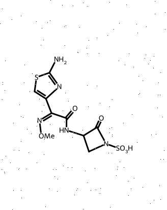 CO/N=C(\C(=O)NC1CN(S(=O)(=O)O)C1=O)c1csc(N)n1